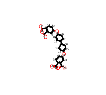 O=C1OC(=O)c2cc(Oc3ccc(-c4ccc(Oc5ccc6c(c5)C(=O)OC6=O)cc4)cc3)ccc21